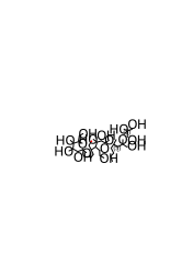 CCCCC(C)(OC1OC(CO)C(C(CC)(CC)OC2OC(CO)C(O)C(O)C2O)C(O)C1O)[C@@H](C)C(CO)OC(O)[C@@H](O)CO